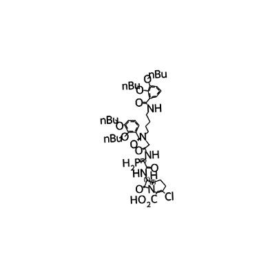 CCCCOc1cccc(C(=O)NCCCCN(CC(=O)N[C@H](P)C(=O)N[C@@H]2C(=O)N3C(C(=O)O)=C(Cl)CC[C@H]23)C(=O)c2cccc(OCCCC)c2OCCCC)c1OCCCC